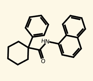 O=C(Nc1cccc2ccccc12)C1(c2ccccc2)CCCCC1